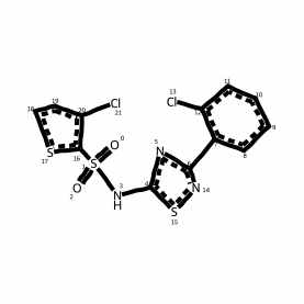 O=S(=O)(Nc1nc(-c2ccccc2Cl)ns1)c1sccc1Cl